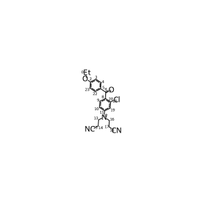 CCOc1ccc(C(=O)c2ccc(N(CCC#N)CCC#N)cc2Cl)cc1